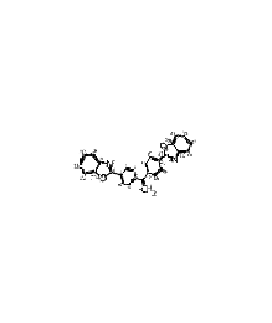 C=C(c1ccc(-c2nc3ccccc3o2)cc1)c1ccc(-c2nc3ccccc3o2)cc1